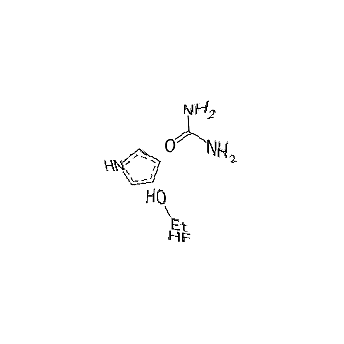 CCO.F.NC(N)=O.c1cc[nH]c1